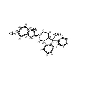 OC(c1ccccc1)(c1ccccc1)C1CCN(c2nc3ccc(Cl)cc3s2)CC1